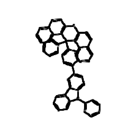 c1ccc(-n2c3ccccc3c3cc(-c4ccc(C5(c6ccccc6)c6c(ccc7ccccc67)Sc6ccc7ccccc7c65)cc4)ccc32)cc1